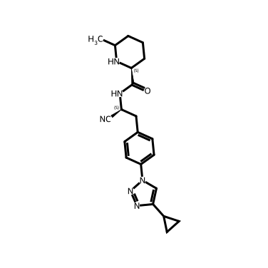 CC1CCC[C@@H](C(=O)N[C@H](C#N)Cc2ccc(-n3cc(C4CC4)nn3)cc2)N1